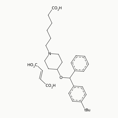 CC(C)(C)c1ccc(C(OC2CCN(CCCCCC(=O)O)CC2)c2ccccc2)cc1.O=C(O)C=CC(=O)O